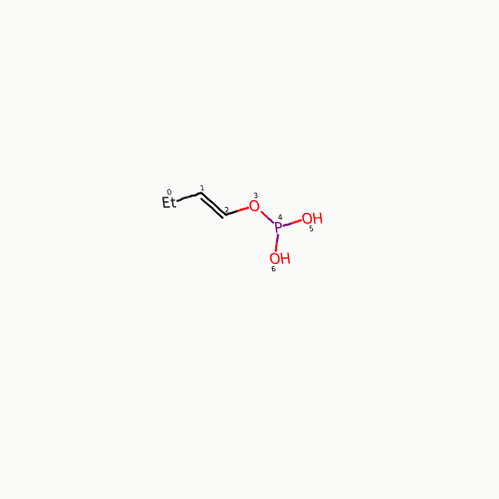 CC/C=C/OP(O)O